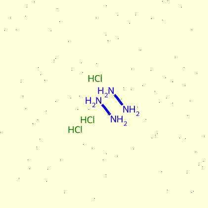 Cl.Cl.Cl.NN.NN